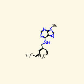 C\C=C/C=C(\C=C/C)CNc1ncnc2c1ncn2C(C)(C)C